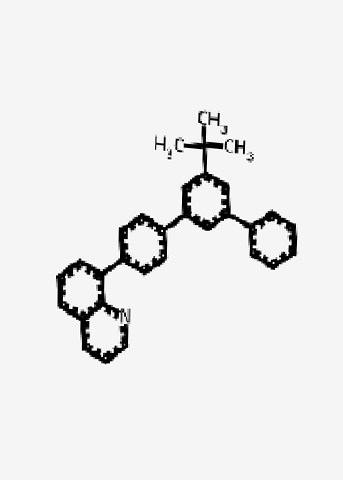 CC(C)(C)c1cc(-c2ccccc2)cc(-c2ccc(-c3cccc4cccnc34)cc2)c1